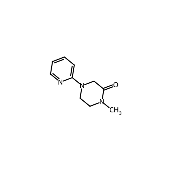 CN1CCN(c2ccccn2)CC1=O